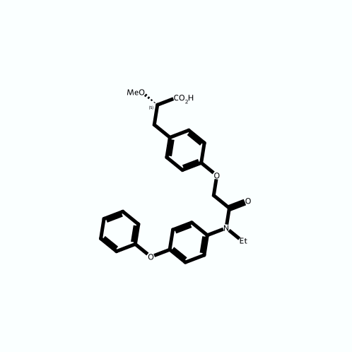 CCN(C(=O)COc1ccc(C[C@H](OC)C(=O)O)cc1)c1ccc(Oc2ccccc2)cc1